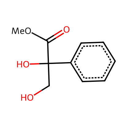 COC(=O)C(O)(CO)c1ccccc1